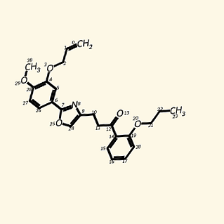 C=CCOc1cc(-c2nc(CCC(=O)c3ccccc3OCCC)co2)ccc1OC